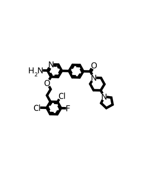 Nc1ncc(-c2ccc(C(=O)N3CCC(N4CCCC4)CC3)cc2)cc1OCCc1c(Cl)ccc(F)c1Cl